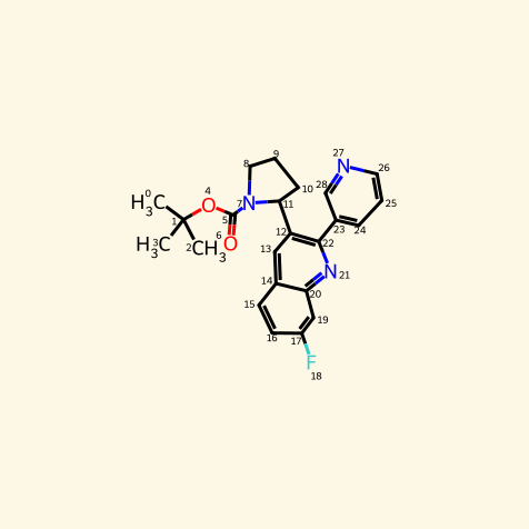 CC(C)(C)OC(=O)N1CCCC1c1cc2ccc(F)cc2nc1-c1cccnc1